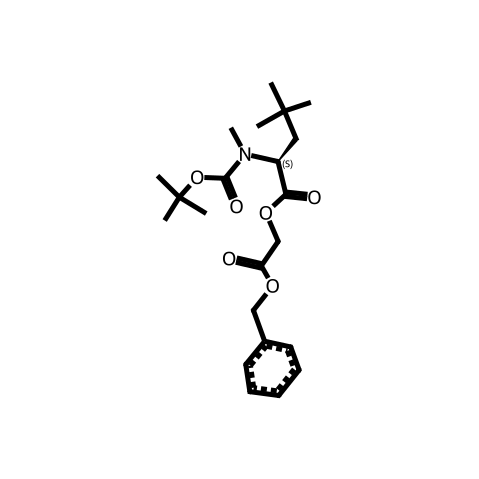 CN(C(=O)OC(C)(C)C)[C@@H](CC(C)(C)C)C(=O)OCC(=O)OCc1ccccc1